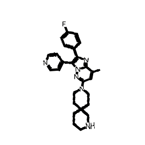 Cc1cc(N2CCC3(CCCNC3)CC2)nn2c(-c3ccncc3)c(-c3ccc(F)cc3)nc12